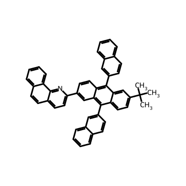 CC(C)(C)c1ccc2c(-c3ccc4ccccc4c3)c3cc(-c4ccc5ccc6ccccc6c5n4)ccc3c(-c3ccc4ccccc4c3)c2c1